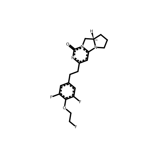 O=c1nc(CCc2cc(F)c(OCCF)c(F)c2)cc2n1C[C@@H]1CCCN21